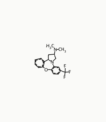 CN(C)C1CC2c3ccccc3Oc3ccc(C(F)(F)F)cc3N2C1